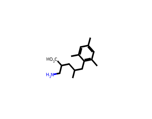 Cc1cc(C)c(CC(C)CC(CN)C(=O)O)c(C)c1